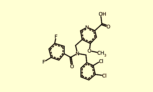 COc1cc(C(=O)O)ncc1CN(Cc1cccc(Cl)c1Cl)C(=O)c1cc(F)cc(F)c1